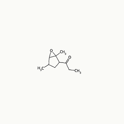 CCC(=O)C1CC(C)C2OC12C